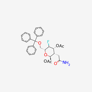 CC(=O)O[C@H]1O[C@H](COC(c2ccccc2)(c2ccccc2)c2ccccc2)[C@@H](F)[C@H](OC(C)=O)[C@@H]1CC(N)=O